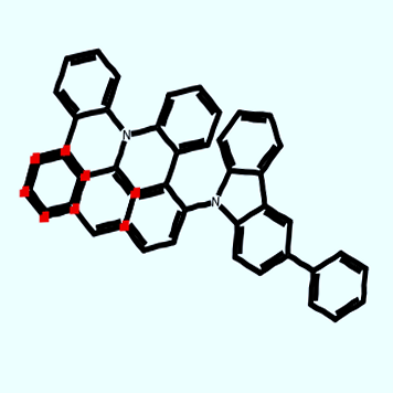 c1ccc(-c2ccc3c(c2)c2ccccc2n3-c2ccccc2-c2ccccc2N(c2ccccc2-c2ccccc2)c2cccc3ccccc23)cc1